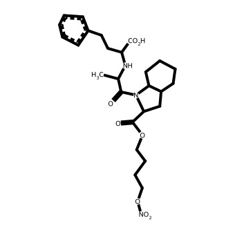 CC(NC(CCc1ccccc1)C(=O)O)C(=O)N1C(C(=O)OCCCCO[N+](=O)[O-])CC2CCCCC21